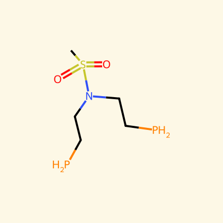 CS(=O)(=O)N(CCP)CCP